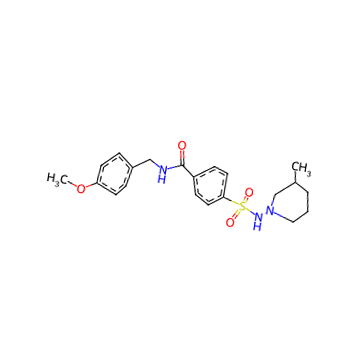 COc1ccc(CNC(=O)c2ccc(S(=O)(=O)NN3CCCC(C)C3)cc2)cc1